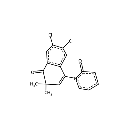 CC1(C)C=C(n2ccccc2=O)c2cc(Cl)c(Cl)cc2C1=O